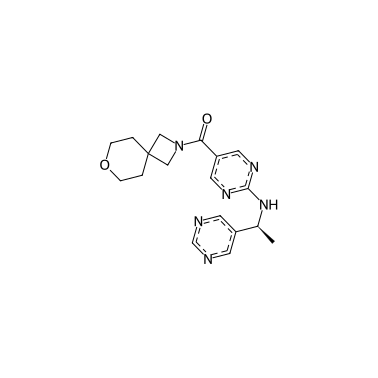 C[C@H](Nc1ncc(C(=O)N2CC3(CCOCC3)C2)cn1)c1cncnc1